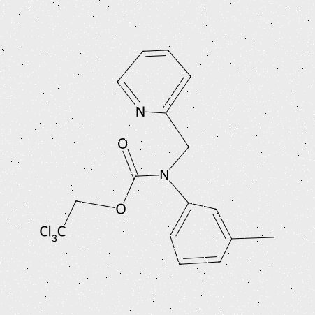 Cc1cccc(N(Cc2ccccn2)C(=O)OCC(Cl)(Cl)Cl)c1